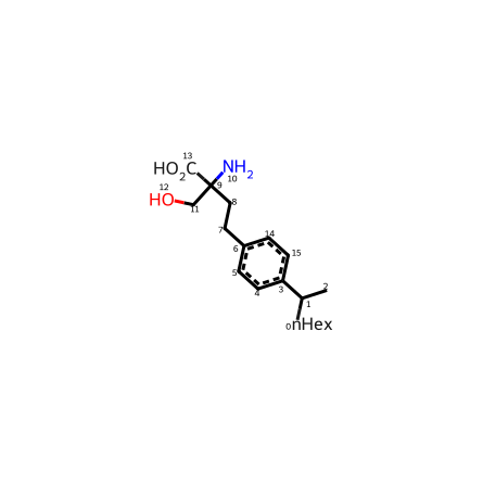 CCCCCCC(C)c1ccc(CCC(N)(CO)C(=O)O)cc1